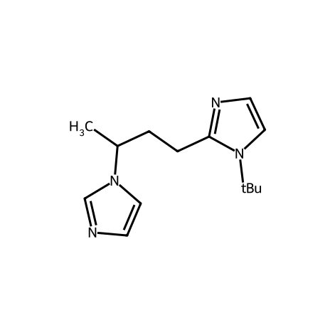 CC(CCc1nccn1C(C)(C)C)n1ccnc1